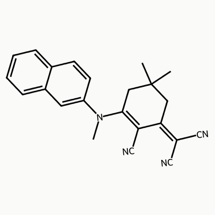 CN(C1=C(C#N)C(=C(C#N)C#N)CC(C)(C)C1)c1ccc2ccccc2c1